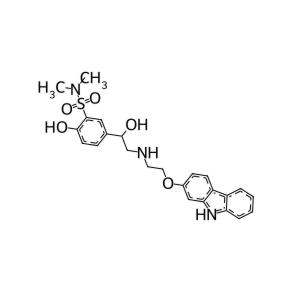 CN(C)S(=O)(=O)c1cc(C(O)CNCCOc2ccc3c(c2)[nH]c2ccccc23)ccc1O